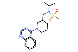 CC(C)N(CC1CCCN(c2ncnc3ccccc23)C1)S(C)(=O)=O